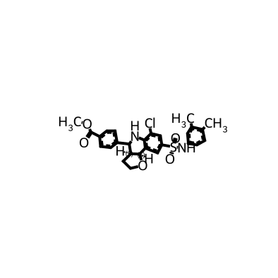 COC(=O)c1ccc(C2Nc3c(Cl)cc(S(=O)(=O)Nc4ccc(C)c(C)c4)cc3[C@H]3OCC[C@@H]23)cc1